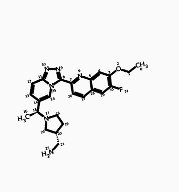 CCOc1cc2nc(-c3nnc4ccc([C@H](C)N5CC[C@H](CN)C5)cn34)ccc2cc1F